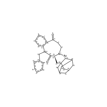 CC(=O)N1CCC(=O)c2ccccc2N(Cc2ccccc2)C(=O)[C@@H]1CC12CC3CC(CC(C3)C1)C2